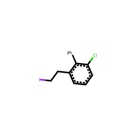 CC(C)c1c(Cl)cccc1CCI